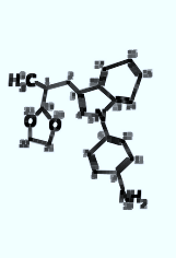 CC(Cc1cn(-c2ccc(N)cc2)c2ccccc12)C1OCCO1